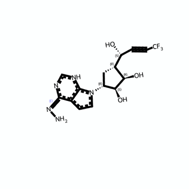 N/N=c1/nc[nH]c2c1ccn2[C@@H]1C[C@H]([C@H](O)C#CC(F)(F)F)[C@@H](O)[C@H]1O